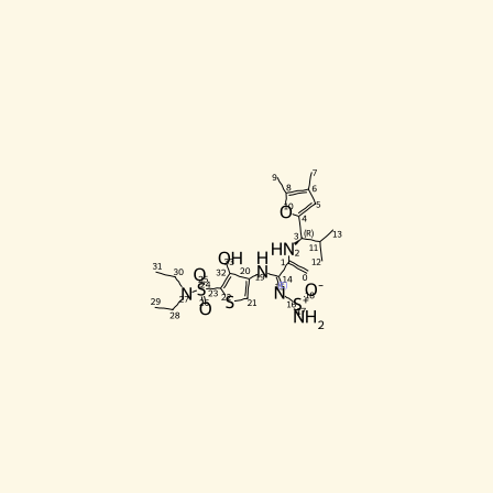 C=C(N[C@@H](c1cc(C)c(C)o1)C(C)C)/C(=N\[S+](N)[O-])Nc1csc(S(=O)(=O)N(CC)CC)c1O